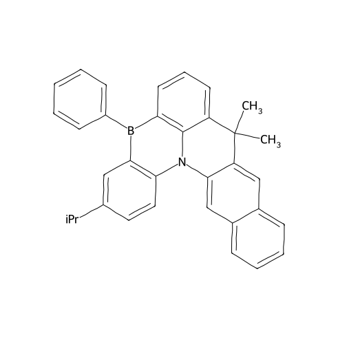 CC(C)c1ccc2c(c1)B(c1ccccc1)c1cccc3c1N2c1cc2ccccc2cc1C3(C)C